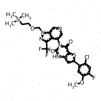 COc1cc(-c2cc3[nH]c(=O)n(-c4cncc5c4c(C(F)(F)F)nn5COCC[Si](C)(C)C)c(=O)c3s2)c(Cl)cc1F